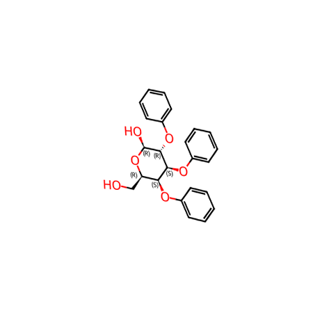 OC[C@H]1O[C@@H](O)[C@H](Oc2ccccc2)[C@@H](Oc2ccccc2)[C@H]1Oc1ccccc1